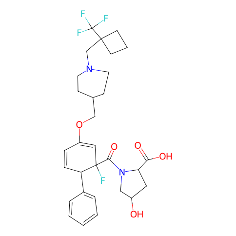 O=C(O)C1CC(O)CN1C(=O)C1(F)C=C(OCC2CCN(CC3(C(F)(F)F)CCC3)CC2)C=CC1c1ccccc1